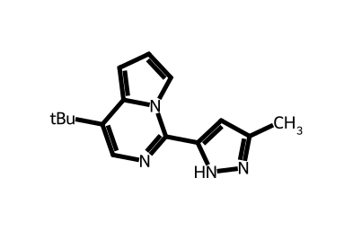 Cc1cc(-c2ncc(C(C)(C)C)c3cccn23)[nH]n1